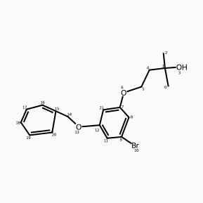 CC(C)(O)CCOc1cc(Br)cc(OCc2ccccc2)c1